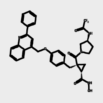 O=C(NO)[C@H]1C[C@]1(Cc1ccc(OCc2cc(-c3ccccc3)nc3ccccc23)cc1)C(=O)N1CC[C@H](NC(=O)C(F)(F)F)C1